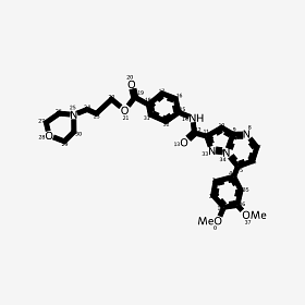 COc1ccc(-c2ccnc3cc(C(=O)Nc4ccc(C(=O)OCCCN5CCOCC5)cc4)nn23)cc1OC